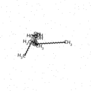 CCCCCCCCCCCCCCCCCCCCCCCC(C)C(=O)O[C@@H](CC[C@H]1OC(CO)C(O)C(O)[C@H]1O)C(O)C(O)C(C)CCCCCCCCCCCC